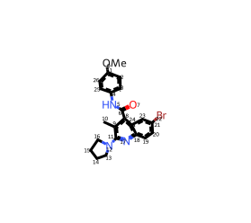 COc1c[c]c(NC(=O)c2c(C)c(N3CCCC3)nc3ccc(Br)cc23)cc1